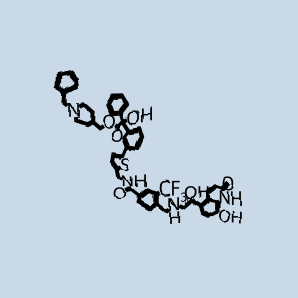 O=C(NCc1ccc(-c2cccc(C(O)(C(=O)OCC3CCN(Cc4ccccc4)CC3)c3ccccc3)c2)s1)c1ccc(CNC[C@H](O)c2ccc(O)c3[nH]c(=O)ccc23)c(C(F)(F)F)c1